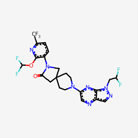 O=C1CC2(CCN(c3cnc4cnn(CC(F)F)c4n3)CC2)CN1c1ccc(C(F)(F)F)nc1OC(F)F